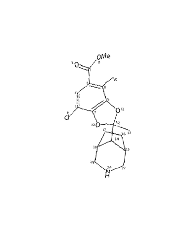 COC(=O)c1cc(Cl)c2c(c1C)OC(C)(C1C3CCC1CNC3)O2